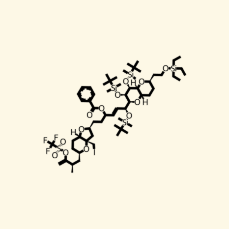 C=C(OS(=O)(=O)C(F)(F)F)[C@H](C)C[C@H]1CC[C@@H]2O[C@@H](CCC(C=C[C@H](O[Si](C)(C)C(C)(C)C)[C@@H]3O[C@H]4CC[C@H](CCO[Si](CC)(CC)CC)O[C@@H]4[C@H](O[Si](C)(C)C(C)(C)C)[C@@H]3O[Si](C)(C)C(C)(C)C)OC(=O)c3ccccc3)C[C@]2(CI)O1